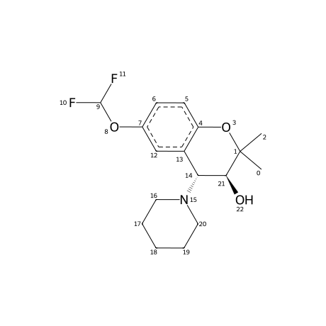 CC1(C)Oc2ccc(OC(F)F)cc2[C@@H](N2CCCCC2)[C@@H]1O